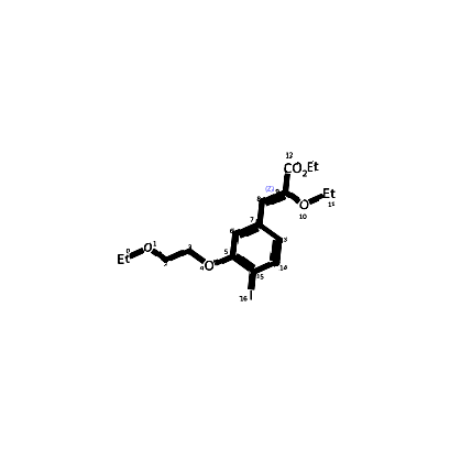 CCOCCOc1cc(/C=C(\OCC)C(=O)OCC)ccc1I